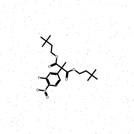 CC(C)(C)CCOC(=O)C(C)(C(=O)OCCC(C)(C)C)c1ccc([N+](=O)[O-])c(F)c1